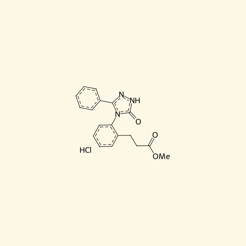 COC(=O)CCc1ccccc1-n1c(-c2ccccc2)n[nH]c1=O.Cl